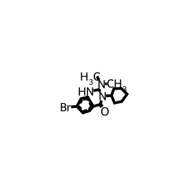 CN(C)C1Nc2cc(Br)ccc2C(=O)N1C1CCCCC1